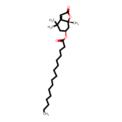 CCCCCCCCCCCCCCCC(=O)O[C@H]1CC(C)(C)C2=CC(=O)O[C@]2(C)C1